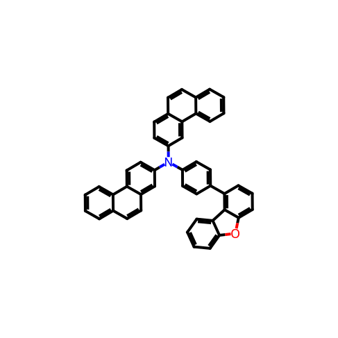 c1ccc2c(c1)ccc1cc(N(c3ccc(-c4cccc5oc6ccccc6c45)cc3)c3ccc4ccc5ccccc5c4c3)ccc12